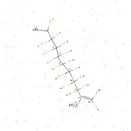 CCCC(F)C(F)(F)C(F)(F)C(F)(F)C(F)(F)C(F)(F)C(F)(F)C(F)(F)C(C(=O)O)=C(F)F